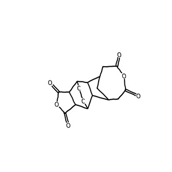 O=C1CC2CC(CC(=O)O1)C1C3CCC(C4C(=O)OC(=O)C34)C21